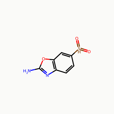 Nc1nc2ccc([SH](=O)=O)cc2o1